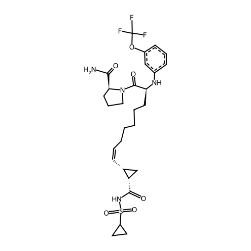 NC(=O)[C@@H]1CCCN1C(=O)[C@H](CCCCC/C=C\[C@@H]1C[C@@H]1C(=O)NS(=O)(=O)C1CC1)Nc1cccc(OC(F)(F)F)c1